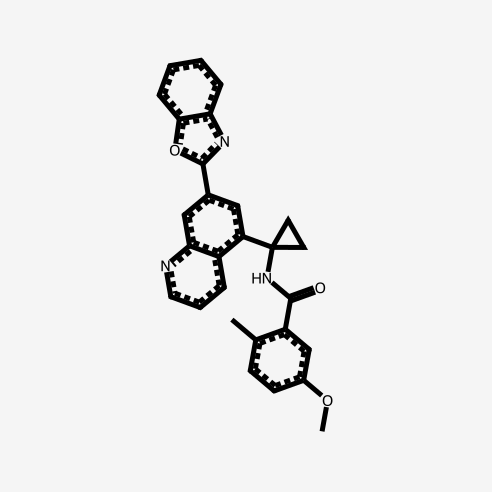 COc1ccc(C)c(C(=O)NC2(c3cc(-c4nc5ccccc5o4)cc4ncccc34)CC2)c1